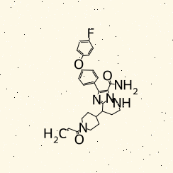 C=CC(=O)N1CCC(C2CCNn3c2nc(-c2ccc(Oc4ccc(F)cc4)cc2)c3C(N)=O)CC1